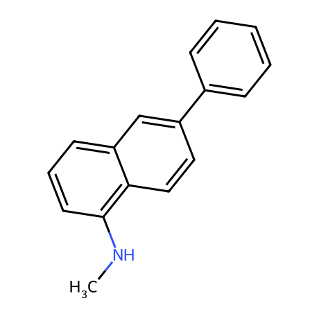 CNc1cccc2cc(-c3ccccc3)ccc12